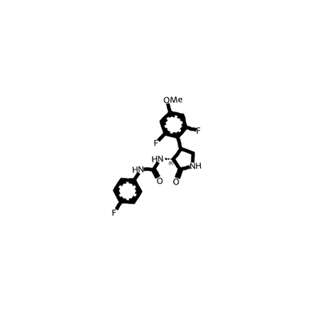 COc1cc(F)c(C2CNC(=O)[C@@H]2NC(=O)Nc2ccc(F)cc2)c(F)c1